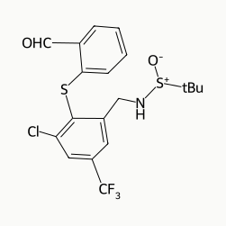 CC(C)(C)[S+]([O-])NCc1cc(C(F)(F)F)cc(Cl)c1Sc1ccccc1C=O